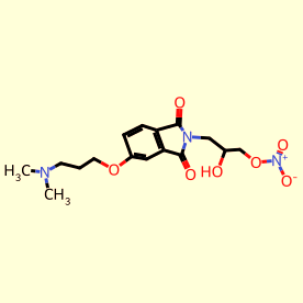 CN(C)CCCOc1ccc2c(c1)C(=O)N(CC(O)CO[N+](=O)[O-])C2=O